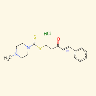 CN1CCN(C(=S)SCCC(=O)/C=C/c2ccccc2)CC1.Cl